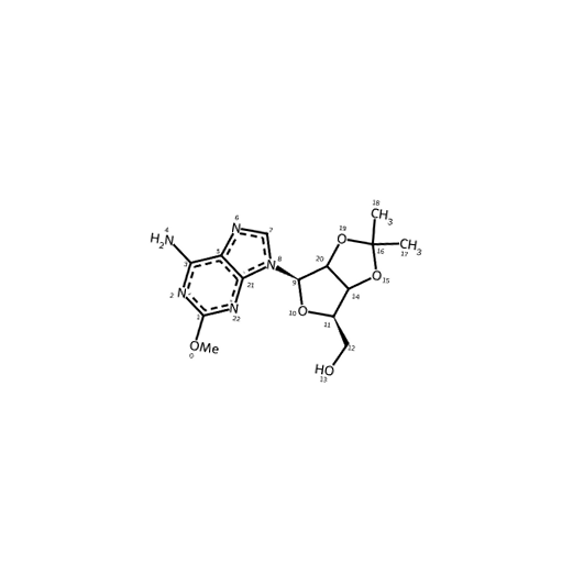 COc1nc(N)c2ncn([C@@H]3O[C@H](CO)C4OC(C)(C)OC43)c2n1